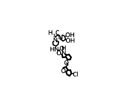 C[C@@H](CN1CCC(NC(=O)Oc2cc3c(OCc4coc5ccc(Cl)cc45)cccc3[nH]2)CC1)N1CCC(O)C(O)C1